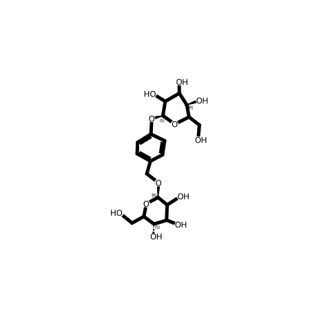 OCC1O[C@@H](OCc2ccc(O[C@@H]3OC(CO)[C@H](O)C(O)C3O)cc2)C(O)C(O)[C@@H]1O